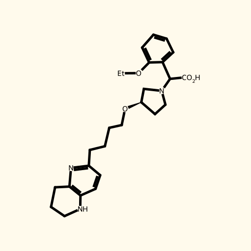 CCOc1ccccc1C(C(=O)O)N1CC[C@@H](OCCCCc2ccc3c(n2)CCCN3)C1